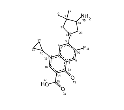 CC1(C)CN(c2cc3c(cc2F)c(=O)c(C(=O)O)cn3C2CC2)CC1N